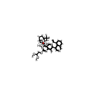 C=Cc1cccc2cncc(-c3ncc4c(N5CC6CCC(C(C)(C)C)(C5)N6C(=O)O)nc(OCC(OC)OC)nc4c3F)c12